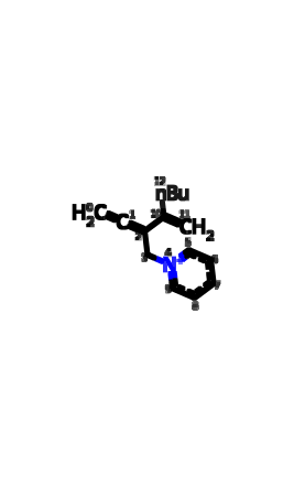 C=C=C(C[n+]1ccccc1)C(=C)CCCC